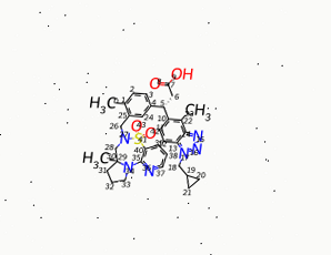 Cc1ccc([C@H](CC(=O)O)c2ccc3c(nnn3CC3CC3)c2C)cc1CN1C[C@@]2(C)CCCN2c2ncccc2S1(=O)=O